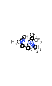 Cc1cc(C)n(-c2cccc(-c3ccc(C(F)(F)F)cc3CN(Cc3cc(C(F)(F)F)cc(C(F)(F)F)c3)c3nnn(C)n3)c2)n1